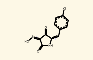 O=C1N/C(=C/c2ccc(Cl)cc2)C(=O)/C1=N/O